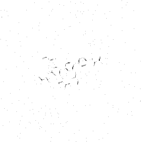 C=CC(=O)Oc1cc(-c2cc(OC(=O)C(=C)C)c(OC(=O)C(=C)C)cc2OC(=O)C(=C)C)ccc1-c1ccc(OC(=O)C(=C)C)cc1